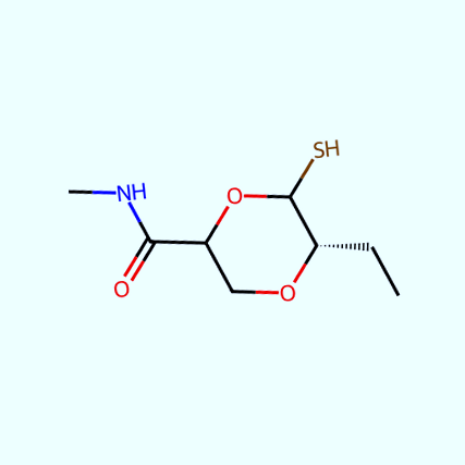 CC[C@@H]1OCC(C(=O)NC)OC1S